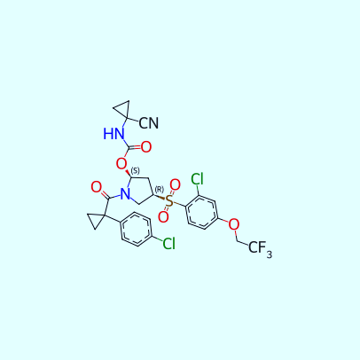 N#CC1(NC(=O)O[C@H]2C[C@@H](S(=O)(=O)c3ccc(OCC(F)(F)F)cc3Cl)CN2C(=O)C2(c3ccc(Cl)cc3)CC2)CC1